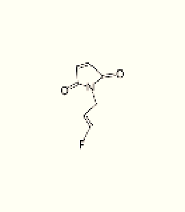 O=C1C=CC(=O)N1CC=CF